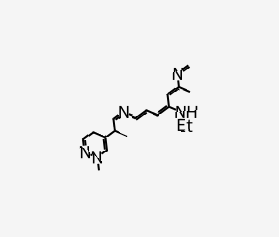 C=N/C(C)=C/C(=C\C=C\N=C/C(C)C1=CN(C)N=CC1)NCC